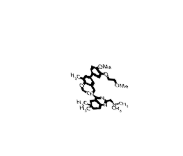 COCCOc1cc(-c2cc(C)c3c(c2)CN(c2nc(CN(C)C)nc4c2CC(C)(C)CC4)CCO3)ccc1OC